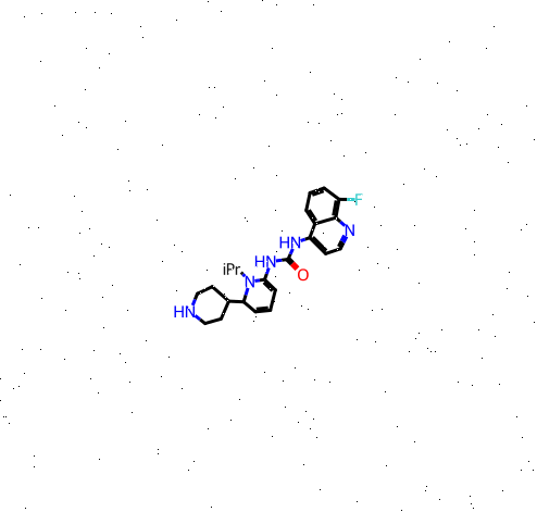 CC(C)N1C(NC(=O)Nc2ccnc3c(F)cccc23)=CC=CC1C1CCNCC1